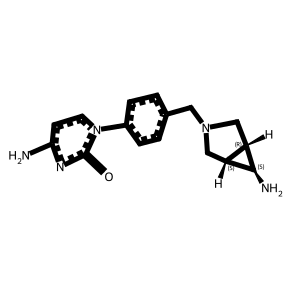 Nc1ccn(-c2ccc(CN3C[C@@H]4[C@@H](N)[C@@H]4C3)cc2)c(=O)n1